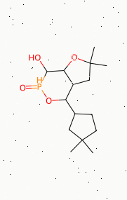 CC1(C)CCC(C2O[PH](=O)C(O)C3OC(C)(C)CC23)C1